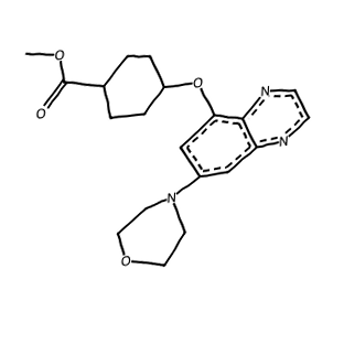 COC(=O)C1CCC(Oc2cc(N3CCOCC3)cc3nccnc23)CC1